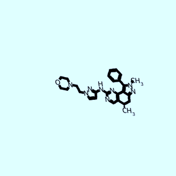 C[C@@H]1Cc2nn(C)c(-c3ccccc3)c2-c2nc(Nc3ccn(CCN4CCOCC4)n3)ncc21